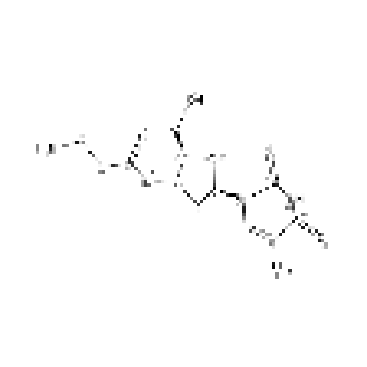 Cc1cn([C@H]2C[C@H](NC(=O)CCN)[C@@H](CO)O2)c(=O)[nH]c1=O